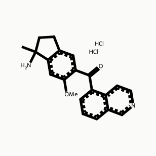 COc1cc2c(cc1C(=O)c1cccc3cnccc13)CCC2(C)N.Cl.Cl